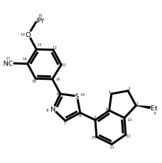 CC[C@@H]1CCc2c(-c3cnc(-c4ccc(OC(C)C)c(C#N)c4)s3)cccc21